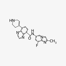 Cc1cn2cc(NC(=O)c3ccc(C4=CCNCC4)c4nccnc34)cc(F)c2n1